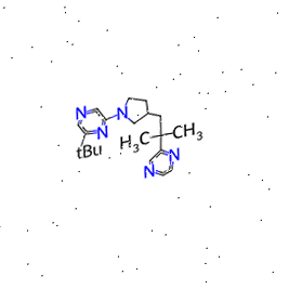 CC(C)(C)c1cncc(N2CCC(CC(C)(C)c3cnccn3)C2)n1